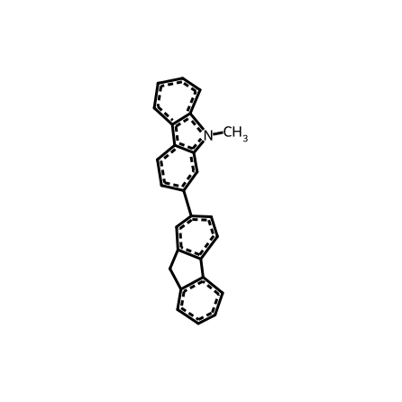 Cn1c2ccccc2c2ccc(-c3ccc4c(c3)Cc3ccccc3-4)cc21